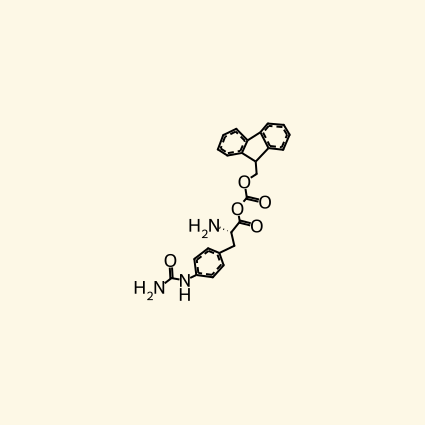 NC(=O)Nc1ccc(C[C@H](N)C(=O)OC(=O)OCC2c3ccccc3-c3ccccc32)cc1